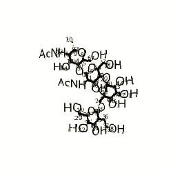 CC(=O)NC1[C@H](O[C@@H]2C(CO)O[C@@H](C)C(NC(C)=O)[C@H]2O)OC(CO)[C@@H](O[C@@H]2OC(CO[C@H]3OC(CO)[C@@H](O)[C@H](O)C3CCO)[C@@H](O)[C@H](O)C2O)[C@@H]1O